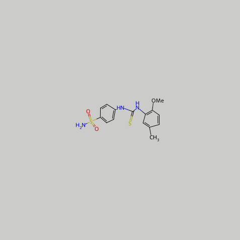 COc1ccc(C)cc1NC(=S)Nc1ccc(S(N)(=O)=O)cc1